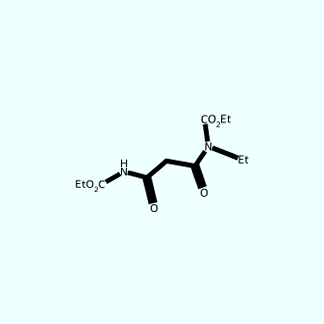 CCOC(=O)NC(=O)CC(=O)N(CC)C(=O)OCC